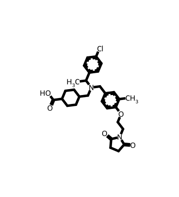 Cc1cc(CN(CC2CCC(C(=O)O)CC2)C(C)c2ccc(Cl)cc2)ccc1OCCN1C(=O)CCC1=O